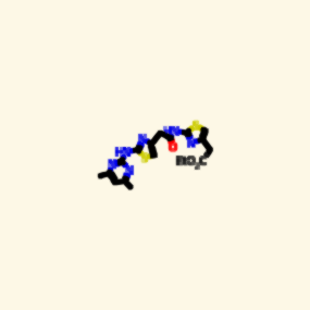 CCOC(=O)Cc1csc(NC(=O)Cc2csc(Nc3nc(C)cc(C)n3)n2)n1